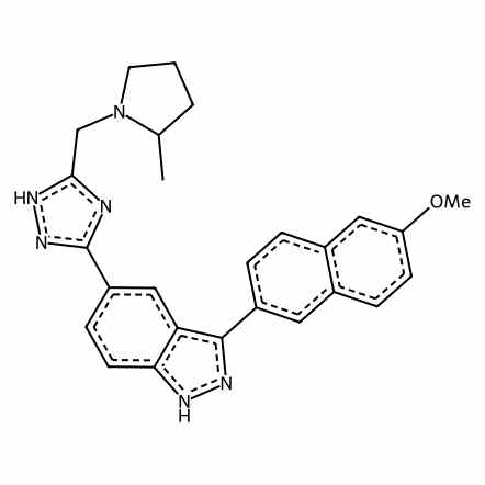 COc1ccc2cc(-c3n[nH]c4ccc(-c5n[nH]c(CN6CCCC6C)n5)cc34)ccc2c1